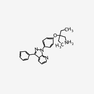 CCC(CC)(CN)Oc1ccc(-n2nc(-c3ccccc3)c3cccnc32)cc1